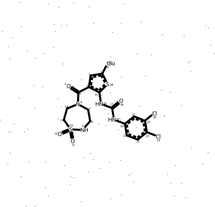 CC(C)(C)c1cc(C(=O)N2CCNS(=O)(=O)CC2)c(NC(=O)Nc2ccc(Cl)c(Cl)c2)s1